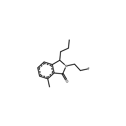 CCCC1c2cccc(C)c2C(=O)N1CCF